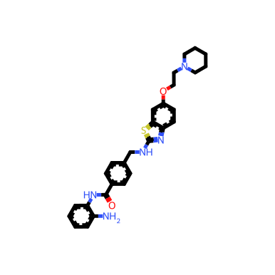 Nc1ccccc1NC(=O)c1ccc(CNc2nc3ccc(OCCN4CCCCC4)cc3s2)cc1